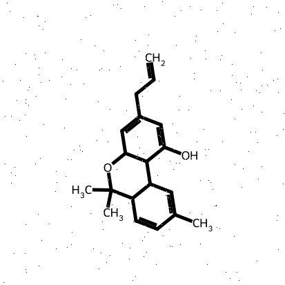 C=CCC1=CC2OC(C)(C)C3C=CC(C)=CC3C2C(O)=C1